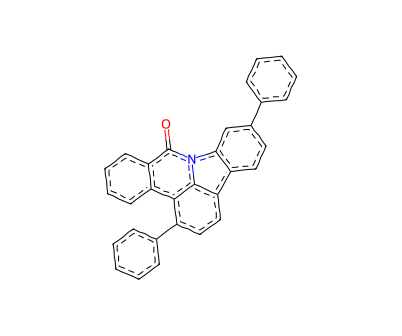 O=c1c2ccccc2c2c(-c3ccccc3)ccc3c4ccc(-c5ccccc5)cc4n1c32